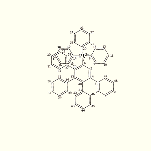 c1ccc(-c2c[c]([Pt-2]([c]3ccccc3)([c]3ccccc3)[c]3ccccc3)c(-c3ccccc3)c(-c3ccccc3)c2-c2ccccc2)cc1